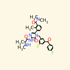 CNC(C)C(=O)Nc1ncc(-c2cccc(C(=O)N(C)C)c2C)n(Cc2cc(F)cc(C(=O)c3ccc(F)cc3)c2)c1=O